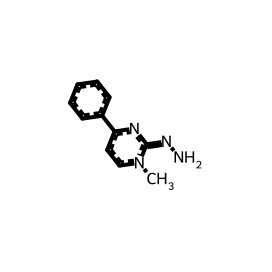 Cn1ccc(-c2ccccc2)nc1=NN